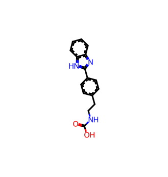 O=C(O)NCCc1ccc(-c2nc3ccccc3[nH]2)cc1